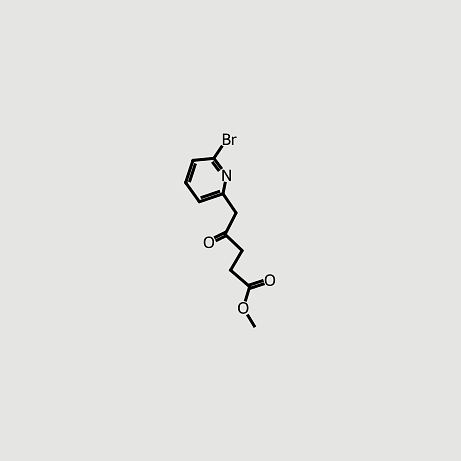 COC(=O)CCC(=O)Cc1cccc(Br)n1